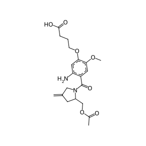 C=C1CC(COC(C)=O)N(C(=O)c2cc(OC)c(OCCCC(=O)O)cc2N)C1